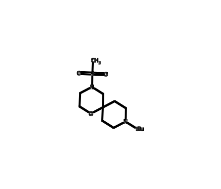 CC(C)(C)N1CCC2(CC1)CN(S(C)(=O)=O)CCO2